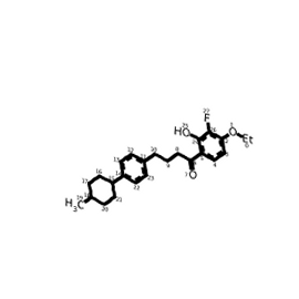 CCOc1ccc(C(=O)CCCc2ccc(C3CCC(C)CC3)cc2)c(O)c1F